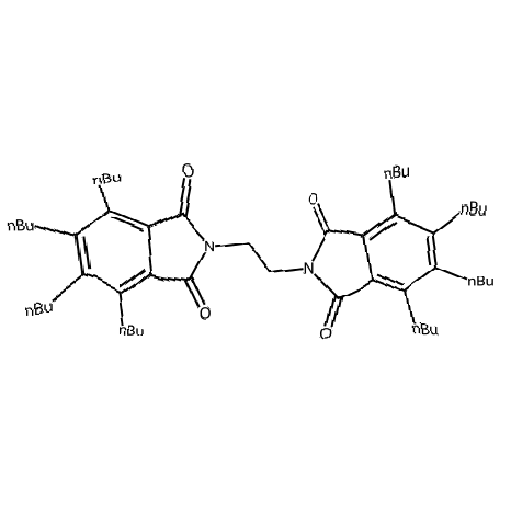 CCCCc1c(CCCC)c(CCCC)c2c(c1CCCC)C(=O)N(CCN1C(=O)c3c(CCCC)c(CCCC)c(CCCC)c(CCCC)c3C1=O)C2=O